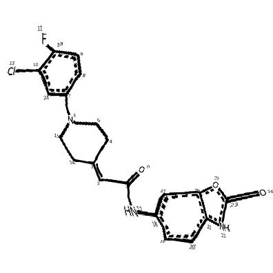 O=C(C=C1CCN(c2ccc(F)c(Cl)c2)CC1)Nc1ccc2[nH]c(=O)oc2c1